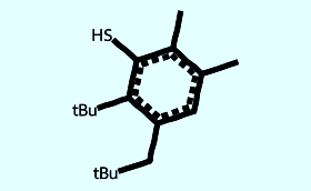 Cc1cc(CC(C)(C)C)c(C(C)(C)C)c(S)c1C